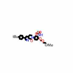 COCCOCOc1ccc(N2CCc3cc(-c4ccc(C(C)(C)C)cc4)cnc3C2=O)cc1NS(C)(=O)=O